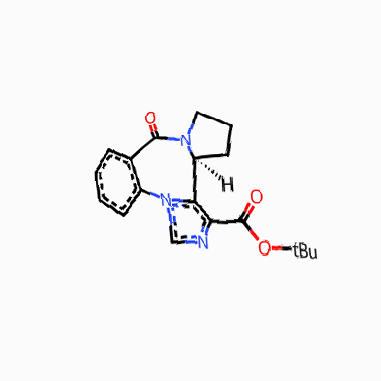 CC(C)(C)OC(=O)c1ncn2c1[C@@H]1CCCN1C(=O)c1ccccc1-2